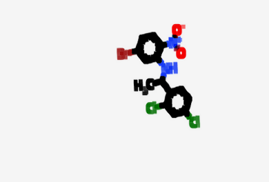 CC(Nc1cc(Br)ccc1[N+](=O)[O-])c1ccc(Cl)cc1Cl